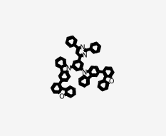 c1ccc(-c2cc(-c3cc(-n4c5ccccc5c5cc(-c6cccc7oc8ccccc8c67)ccc54)cc(-n4c5ccccc5c5cc(-c6cccc7oc8ccccc8c67)ccc54)c3)nc(-c3ccccc3)n2)cc1